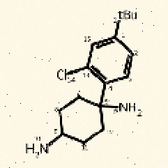 CC(C)(C)c1ccc(C2(N)CCC(N)CC2)c(Cl)c1